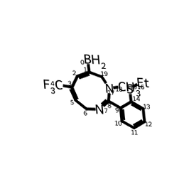 B/C1=C/C(C(F)(F)F)=C\C/N=C(/c2ccccc2SCC)N(C)C1